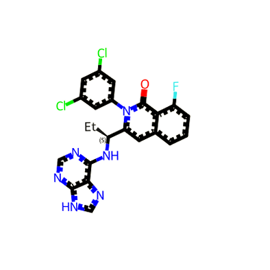 CC[C@H](Nc1ncnc2[nH]cnc12)c1cc2cccc(F)c2c(=O)n1-c1cc(Cl)cc(Cl)c1